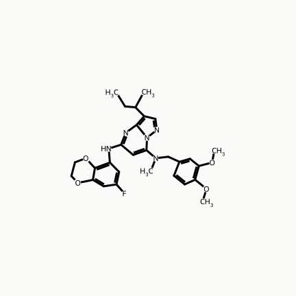 CCC(C)c1cnn2c(N(C)Cc3ccc(OC)c(OC)c3)cc(Nc3cc(F)cc4c3OCCO4)nc12